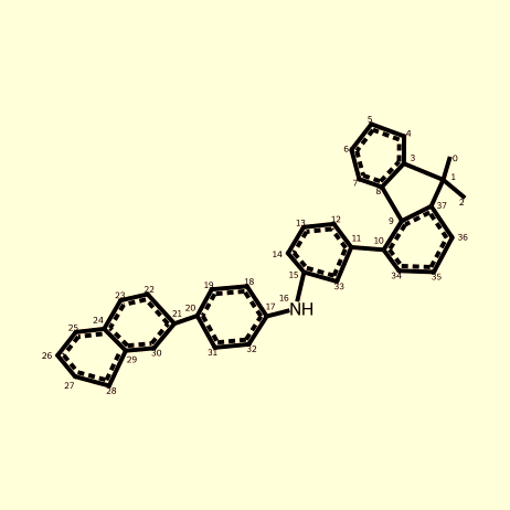 CC1(C)c2ccccc2-c2c(-c3cccc(Nc4ccc(-c5ccc6ccccc6c5)cc4)c3)cccc21